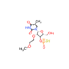 COCCO[C@H]1C(O[PH](=O)S)[C@@H](CO)O[C@H]1n1cc(C)c(=O)[nH]c1=O